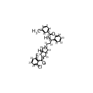 Cc1cccc(C(=O)NC(CCN2CC3CN(C(=O)c4c(F)cccc4Cl)C[C@@H]3C2)c2ccccc2)c1